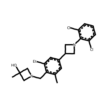 CCc1cc(C2CN(c3c(Cl)cccc3Cl)C2)cc(C)c1CN1CC(C)(O)C1